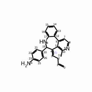 C=CC/C=C1\c2c(ccnc2C)-c2ccccc2NC1c1ccc(N)cc1